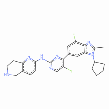 Cc1nc2c(F)cc(-c3nc(Nc4ccc5c(n4)CCNC5)ncc3F)cc2n1C1CCCC1